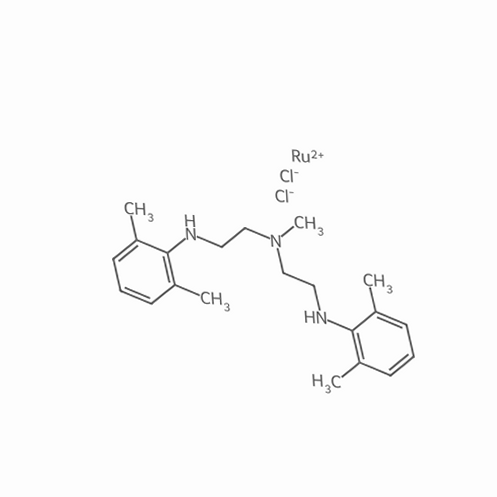 Cc1cccc(C)c1NCCN(C)CCNc1c(C)cccc1C.[Cl-].[Cl-].[Ru+2]